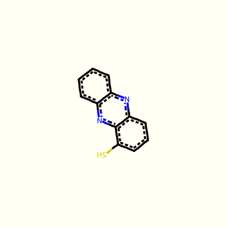 Sc1cccc2nc3ccccc3nc12